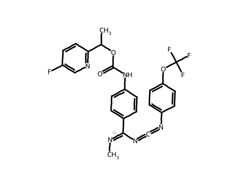 C/N=C(\N=C=Nc1ccc(OC(F)(F)F)cc1)c1ccc(NC(=O)OC(C)c2ccc(F)cn2)cc1